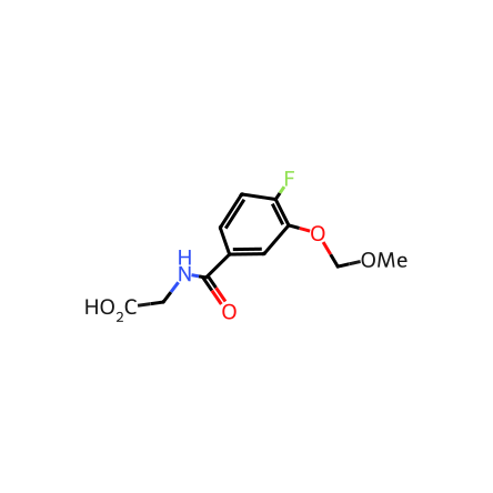 COCOc1cc(C(=O)NCC(=O)O)ccc1F